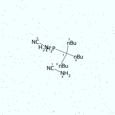 CCCCC(P)(CCCC)CCCC.N#CN.N#CN